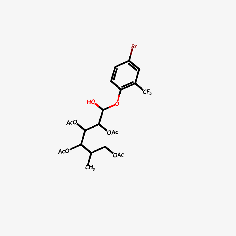 CC(=O)OCC(C)C(OC(C)=O)C(OC(C)=O)C(OC(C)=O)C(O)Oc1ccc(Br)cc1C(F)(F)F